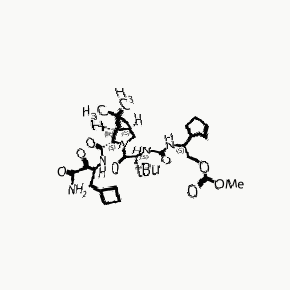 COC(=O)OC[C@@H](NC(=O)N[C@H](C(=O)N1C[C@H]2[C@@H]([C@H]1C(=O)NC(CC1CCC1)C(=O)C(N)=O)C2(C)C)C(C)(C)C)C1CCCC1